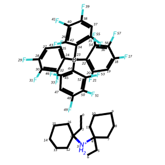 CCC1([NH2+]C2(CC)CCCCC2)CCCCC1.Fc1cc(F)c([B-](c2c(F)cc(F)c(F)c2F)(c2c(F)cc(F)c(F)c2F)c2c(F)cc(F)c(F)c2F)c(F)c1F